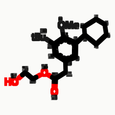 COc1c(C2CCCCC2)cc(CC(=O)OCCO)cc1C(C)(C)C